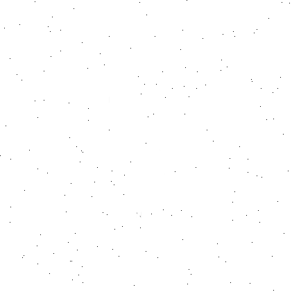 Cc1ccc(CCN=O)cc1F